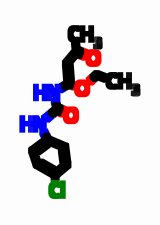 CCOC(=CC(C)=O)NC(=O)Nc1ccc(Cl)cc1